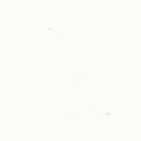 CCc1cc(S(=O)(=O)c2ccc(OC(C)C)cc2)ccc1O